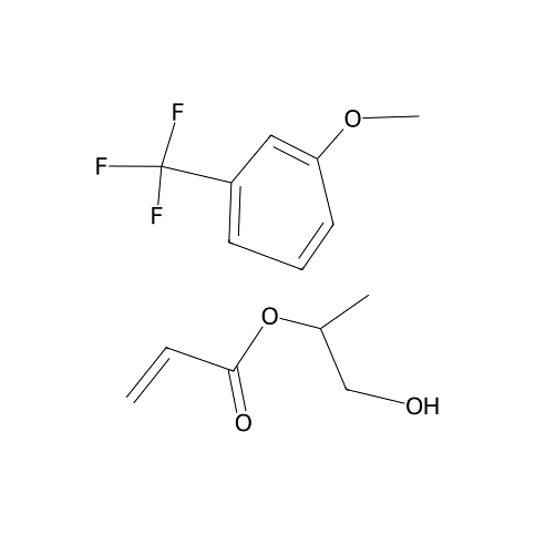 C=CC(=O)OC(C)CO.COc1cccc(C(F)(F)F)c1